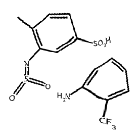 Cc1ccc(S(=O)(=O)O)cc1N=S(=O)=O.Nc1ccccc1C(F)(F)F